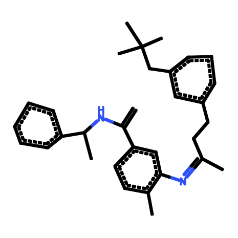 C=C(NC(C)c1ccccc1)c1ccc(C)c(/N=C(/C)CCc2cccc(CC(C)(C)C)c2)c1